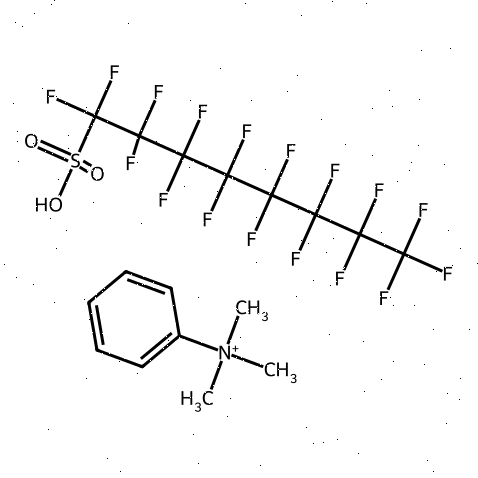 C[N+](C)(C)c1ccccc1.O=S(=O)(O)C(F)(F)C(F)(F)C(F)(F)C(F)(F)C(F)(F)C(F)(F)C(F)(F)C(F)(F)F